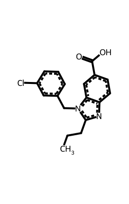 CCCc1nc2ccc(C(=O)O)cc2n1Cc1cccc(Cl)c1